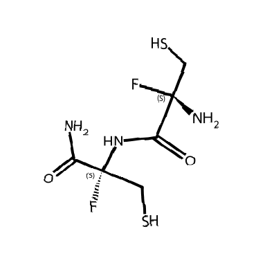 NC(=O)[C@](F)(CS)NC(=O)[C@](N)(F)CS